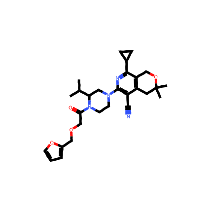 CC(C)C1CN(c2nc(C3CC3)c3c(c2C#N)CC(C)(C)OC3)CCN1C(=O)COCc1ccco1